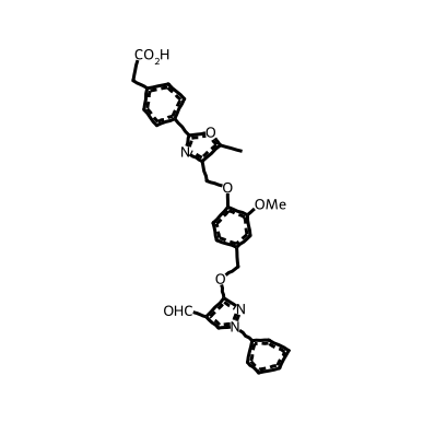 COc1cc(COc2nn(-c3ccccc3)cc2C=O)ccc1OCc1nc(-c2ccc(CC(=O)O)cc2)oc1C